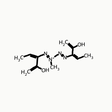 C=C(O)/C(=C\C)N=N/[N+](C)=N/C(=C/C)C(=C)O